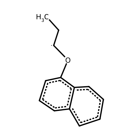 CC[CH]Oc1cccc2ccccc12